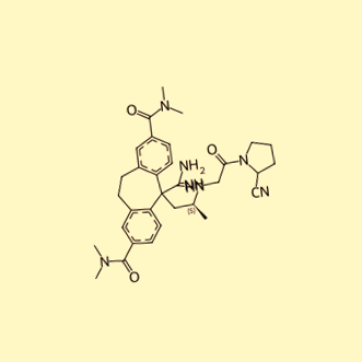 C[C@@H](CC1(C(=N)N)c2ccc(C(=O)N(C)C)cc2CCc2cc(C(=O)N(C)C)ccc21)NCC(=O)N1CCCC1C#N